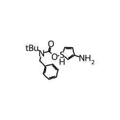 CC(C)(C)N(Cc1ccccc1)C(=O)O[SH]1C=CC(N)=C1